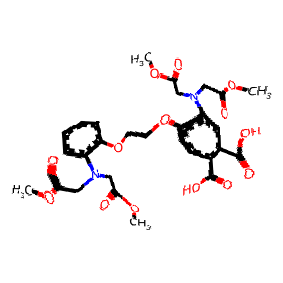 COC(=O)CN(CC(=O)OC)c1ccccc1OCCOc1cc(C(=O)O)c(C(=O)O)cc1N(CC(=O)OC)CC(=O)OC